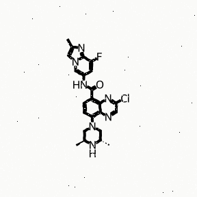 Cc1cn2cc(NC(=O)c3ccc(N4C[C@H](C)N[C@@H](C)C4)c4ncc(Cl)nc34)cc(F)c2n1